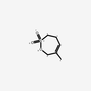 CC1=CCCS(=O)(=O)OC1